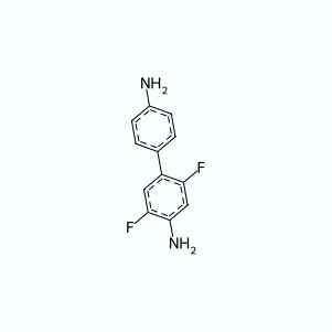 Nc1ccc(-c2cc(F)c(N)cc2F)cc1